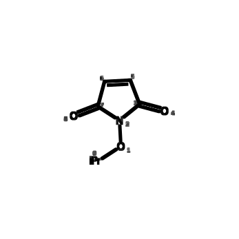 CC(C)ON1C(=O)C=CC1=O